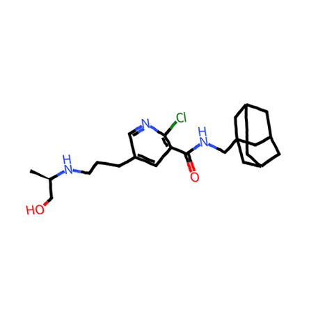 C[C@H](CO)NCCCc1cnc(Cl)c(C(=O)NCC23CC4CC(CC(C4)C2)C3)c1